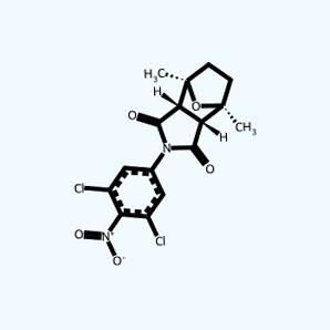 C[C@]12CC[C@](C)(O1)[C@@H]1C(=O)N(c3cc(Cl)c([N+](=O)[O-])c(Cl)c3)C(=O)[C@@H]12